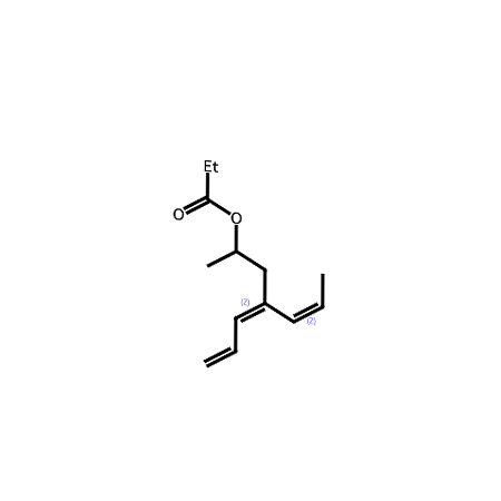 C=C/C=C(\C=C/C)CC(C)OC(=O)CC